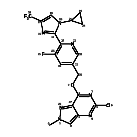 Cn1cc2nc(Cl)nc(OCc3cnc(-c4nc(C(F)(F)F)cn4C4CC4)c(F)c3)c2n1